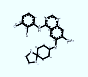 COc1cc2ncnc(Nc3cccc(Cl)c3F)c2cc1OC1CCC2(CC1)OCCO2